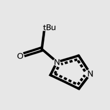 CC(C)(C)C(=O)n1ccnc1